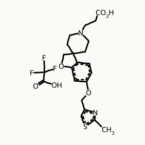 Cc1nc(COc2ccc3c(c2)OCC32CCN(CCC(=O)O)CC2)cs1.O=C(O)C(F)(F)F